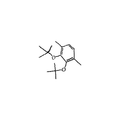 Cc1ccc(C)c(OC(C)(C)C)c1OC(C)(C)C